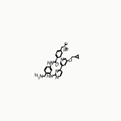 NCc1ccc(NC(=O)c2ccc(C[SH](=O)=O)cc2)cc1Nc1nccc(-c2cncc(OCC3CC3)c2)n1